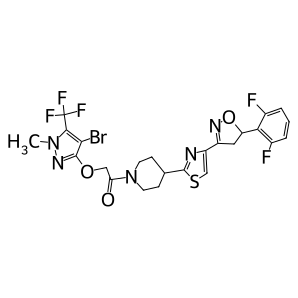 Cn1nc(OCC(=O)N2CCC(c3nc(C4=NOC(c5c(F)cccc5F)C4)cs3)CC2)c(Br)c1C(F)(F)F